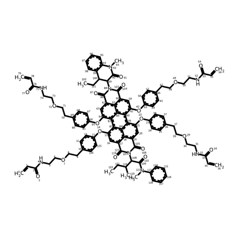 C=CC(=O)NCCOCCc1ccc(Oc2cc3c4c(cc(Oc5ccc(CCOCCNC(=O)C=C)cc5)c5c6c(Oc7ccc(CCOCCNC(=O)C=C)cc7)cc7c8c(cc(Oc9ccc(CCOCCNC(=O)C=C)cc9)c(c2c45)c86)C(=O)N(C2C(=O)N(C)c4ccccc4C2CC)C7=O)C(=O)N(C(C(=O)N(C)c2ccccc2)C(C)CC)C3=O)cc1